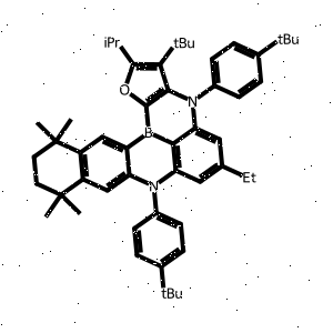 CCc1cc2c3c(c1)N(c1ccc(C(C)(C)C)cc1)c1c(oc(C(C)C)c1C(C)(C)C)B3c1cc3c(cc1N2c1ccc(C(C)(C)C)cc1)C(C)(C)CCC3(C)C